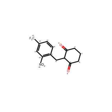 O=C1CCCC(=O)C1Cc1ccc(C(F)(F)F)cc1[N+](=O)[O-]